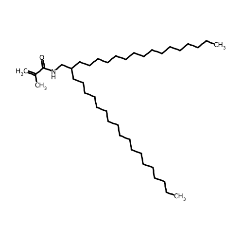 C=C(C)C(=O)NCC(CCCCCCCCCCCCCCCC)CCCCCCCCCCCCCCCCCC